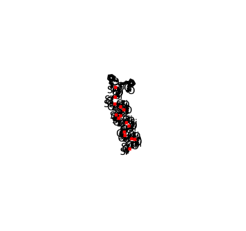 COc1ccccc1CCC[Si](C)(C)O[Si](C)(O[Si](C)(C)CCCc1ccccc1OC(C)=O)O[Si](C)(C)CC[Si](C)(C)O[Si](C)(C)O[Si](C)(C)O[Si](C)(C)O[Si](C)(C)O[Si](C)(C)O[Si](C)(C)O[Si](C)(C)O[Si](C)(C)O[Si](C)(C)O[Si](C)(C)O[Si](C)(C)O[Si](C)(C)O[Si](C)(C)O[Si](C)(C)O[Si](C)(C)O[Si](C)(C)O[Si](C)(C)O[Si](C)(C)O[Si](C)(C)O[Si](C)(C)O[Si](C)(C)O[Si](C)(C)O[Si](C)(C)O[Si](C)(C)O[Si](C)(C)C